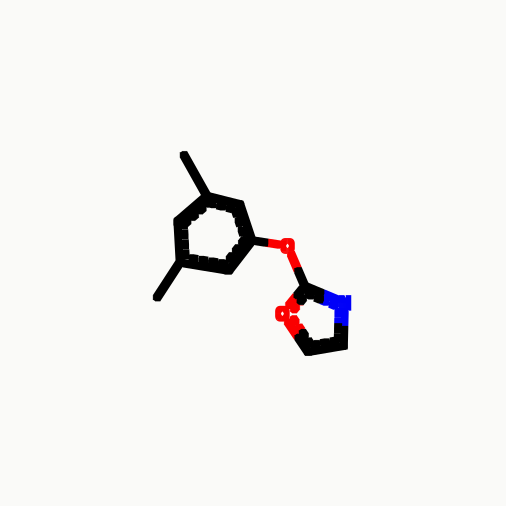 Cc1cc(C)cc(Oc2ncco2)c1